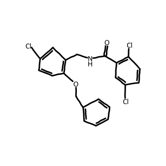 O=C(NCc1cc(Cl)ccc1OCc1ccccc1)c1cc(Cl)ccc1Cl